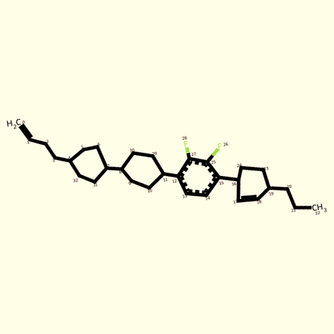 C=CCCC1CCC(C2CCC(c3ccc(C4C=CC(CCC)CC4)c(F)c3F)CC2)CC1